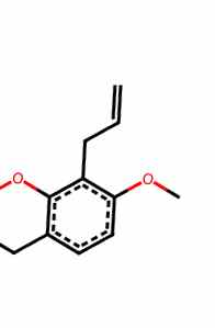 C=CCc1c(OC)ccc2c1OCCC2